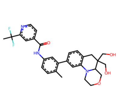 Cc1ccc(NC(=O)c2ccnc(C(C)(F)F)c2)cc1-c1ccc2c(c1)N1CCOCC1C(CO)(CO)C2